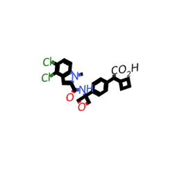 Cn1c(C(=O)NC2(c3ccc(C(C(=O)O)C4CCC4)cc3)COC2)cc2c(Cl)c(Cl)ccc21